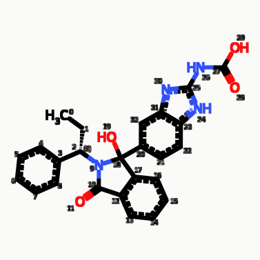 CC[C@@H](c1ccccc1)N1C(=O)c2ccccc2C1(O)c1ccc2[nH]c(NC(=O)O)nc2c1